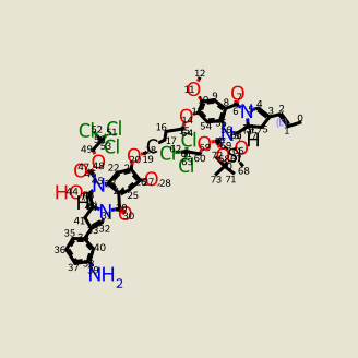 C/C=C/C1=CN2C(=O)c3cc(OC)c(OCCCCCOc4cc5c(cc4OC)C(=O)N4C=C(c6cccc(N)c6)C[C@H]4[C@H](O)N5C(=O)OCC(Cl)(Cl)Cl)cc3N(C(=O)OCC(Cl)(Cl)Cl)[C@@H](O[Si](C)(C)C(C)(C)C)[C@@H]2C1